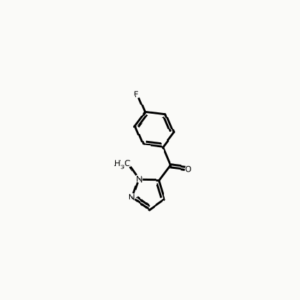 Cn1nccc1C(=O)c1ccc(F)cc1